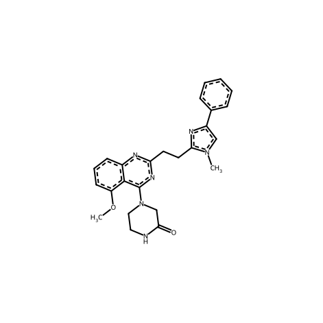 COc1cccc2nc(CCc3nc(-c4ccccc4)cn3C)nc(N3CCNC(=O)C3)c12